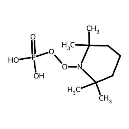 CC1(C)CCCC(C)(C)N1OOP(=O)(O)O